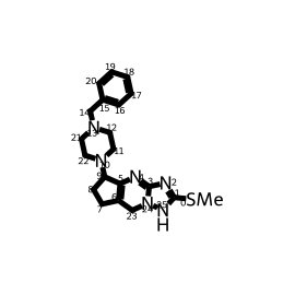 CSC1=NC2=NC3=C(CCC3N3CCN(Cc4ccccc4)CC3)CN2N1